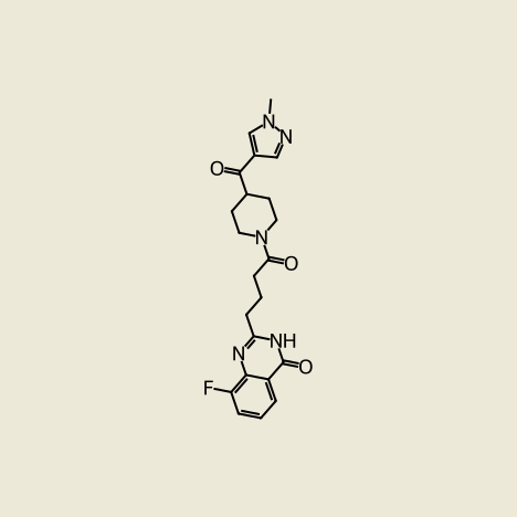 Cn1cc(C(=O)C2CCN(C(=O)CCCc3nc4c(F)cccc4c(=O)[nH]3)CC2)cn1